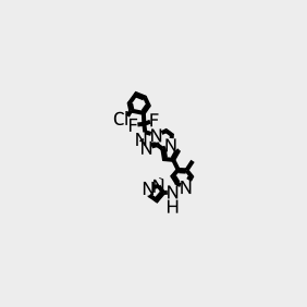 Cc1cnc(Nc2ccnn2C)cc1-c1cc2n(c1)CCn1c-2nnc1C(F)(F)c1ccccc1Cl